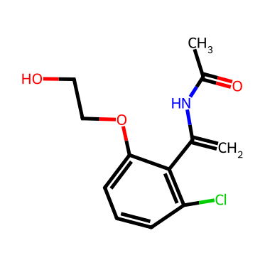 C=C(NC(C)=O)c1c(Cl)cccc1OCCO